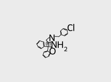 NC(=O)C(c1ccccc1)(c1ccccc1)[C@H]1CCN(CCc2ccc(Cl)cc2)C1